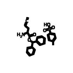 C=C=CCC(N)C(=O)OC(c1ccccc1)c1ccccc1.Cc1ccc(S(=O)(=O)O)cc1